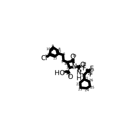 O=C(O)[C@@H]1C(CCc2cccc(Cl)c2)C(=O)N1C(=O)N[C@@H](C1CCCCC1)C(F)(F)F